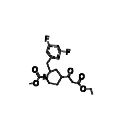 CCOC(=O)CC(=O)C1CCN(C(=O)OC)C(Cc2cc(F)cc(F)c2)C1